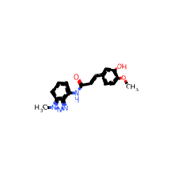 COc1ccc(C=CC(=O)Nc2cccc3c2nnn3C)cc1O